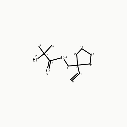 C=CC1(COC(=O)C(C)(C)CC)CCCC1